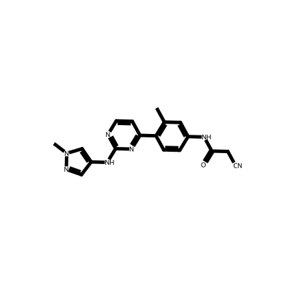 Cc1cc(NC(=O)CC#N)ccc1-c1ccnc(Nc2cnn(C)c2)n1